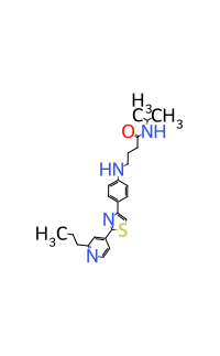 CCCc1cc(-c2nc(-c3ccc(NCCCC(=O)NC(C)C)cc3)cs2)ccn1